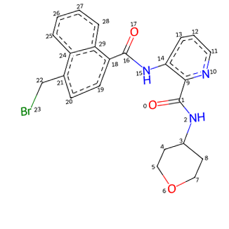 O=C(NC1CCOCC1)c1ncccc1NC(=O)c1ccc(CBr)c2ccccc12